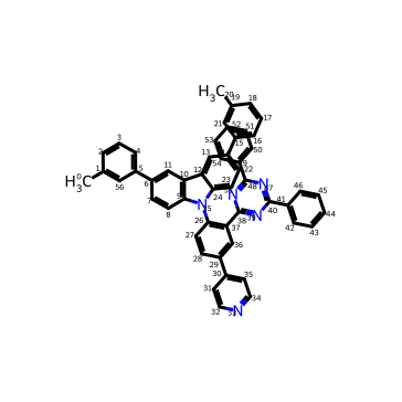 Cc1cccc(-c2ccc3c(c2)c2cc(-c4cccc(C)c4)ccc2n3-c2ccc(-c3ccncc3)cc2-c2nc(-c3ccccc3)nc(-c3ccccc3)n2)c1